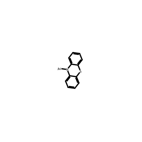 CC(=O)N1c2c[c]ccc2Sc2ccccc21